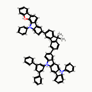 CC1(C)c2ccc(-c3ccc4c(c3)c3cc5c(cc3n4-c3cc(-c4ccccc4)cc(-c4ccccc4)c3)c3ccccc3n5-c3ccccc3)cc2-c2cc(-c3ccc4c(c3)c3ccc5c6ccccc6oc5c3n4-c3ccccc3)ccc21